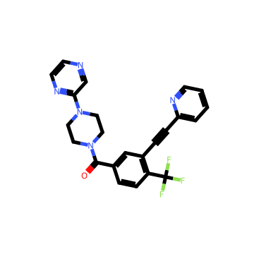 O=C(c1ccc(C(F)(F)F)c(C#Cc2ccccn2)c1)N1CCN(c2cnccn2)CC1